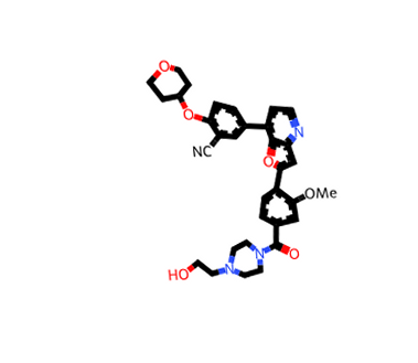 COc1cc(C(=O)N2CCN(CCO)CC2)ccc1-c1cc2nccc(-c3ccc(OC4CCOCC4)c(C#N)c3)c2o1